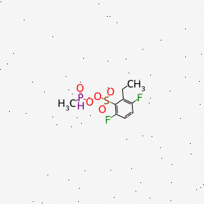 CCc1c(F)ccc(F)c1S(=O)(=O)OO[PH](C)=O